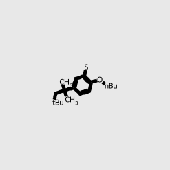 CCCCOc1ccc(C(C)(C)CC(C)(C)C)cc1[S]